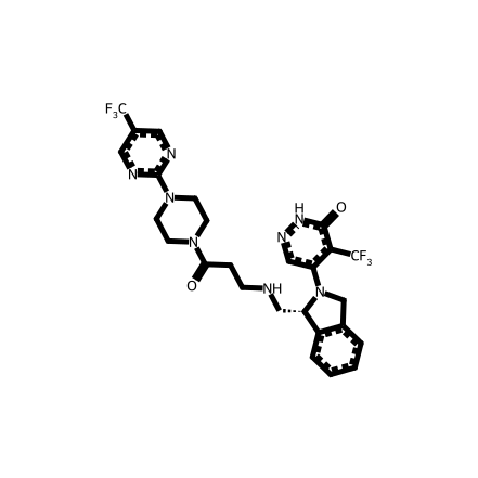 O=C(CCNC[C@H]1c2ccccc2CN1c1cn[nH]c(=O)c1C(F)(F)F)N1CCN(c2ncc(C(F)(F)F)cn2)CC1